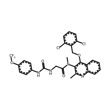 Cc1nc2ccccc2c(OCc2c(Cl)cccc2Cl)c1N(C)C(=O)CNC(=O)Nc1ccc(OC(F)(F)F)cc1